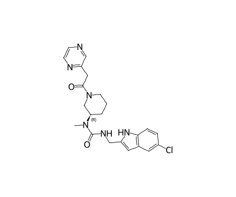 CN(C(=O)NCc1cc2cc(Cl)ccc2[nH]1)[C@@H]1CCCN(C(=O)Cc2cnccn2)C1